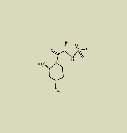 CC(C)[C@H](NS(=O)(=O)C(F)(F)F)C(=O)N1CC[C@@H](C(C)(C)C)C[C@H]1C(=O)O